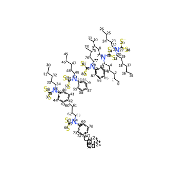 CCCCCCN(CCCCC)C(=S)[S-].CCCCCCN(CCCCC)C(=S)[S-].CCCCCN(C(=S)[S-])c1ccccc1.CCCCCN(C(=S)[S-])c1ccccc1.CCCCN(C(=S)[S-])c1ccccc1.CCCCN(C(=S)[S-])c1ccccc1.[Cu+2].[Cu+2].[Cu+2]